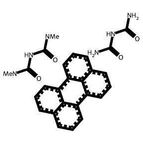 CNC(=O)NC(=O)NC.NC(=O)NC(N)=O.c1cc2cccc3c4cccc5cccc(c(c1)c23)c54